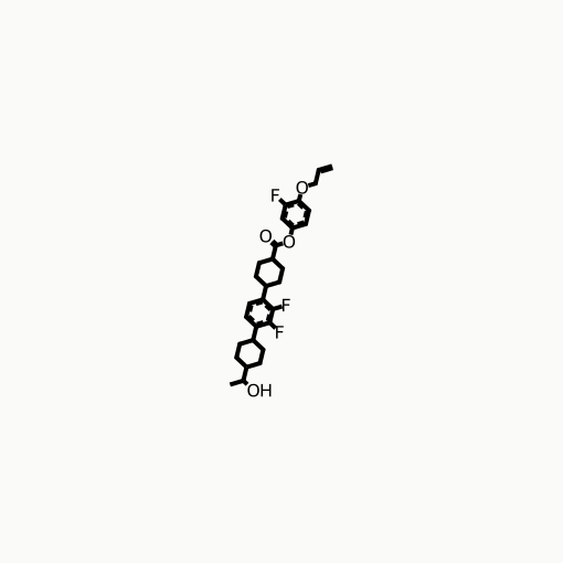 C=CCOc1ccc(OC(=O)C2CCC(c3ccc(C4CCC(C(C)O)CC4)c(F)c3F)CC2)cc1F